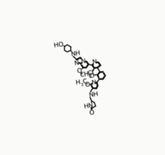 COc1nc(-c2cccc(-c3ccnc(-c4cc(OC)c5nc(CNC6CCC(O)CC6)cn5c4)c3Cl)c2Cl)ccc1CNCC1CCC(=O)N1